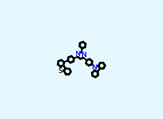 c1ccc(-c2nc(-c3ccc(-c4cccc5sc6ccccc6c45)cc3)cc(-c3ccc(-n4c5ccccc5c5ccccc54)cc3)n2)cc1